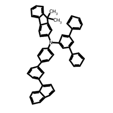 CC1(C)c2ccccc2-c2ccc(N(c3ccc(-c4cccc(-c5cccc6ccccc56)c4)cc3)c3cc(-c4ccccc4)cc(-c4ccccc4)c3)cc21